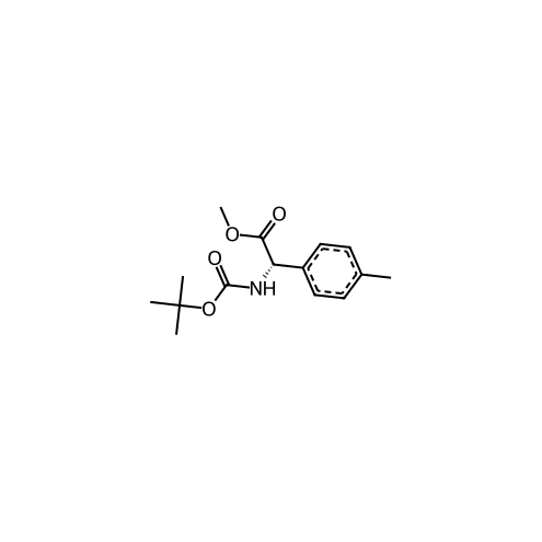 COC(=O)[C@@H](NC(=O)OC(C)(C)C)c1ccc(C)cc1